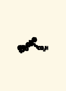 CC1(C)CCC(NC(=O)c2ccc3nc(-c4ccccc4)c(CCCCC(=O)O)cc3c2)c2ccccc21